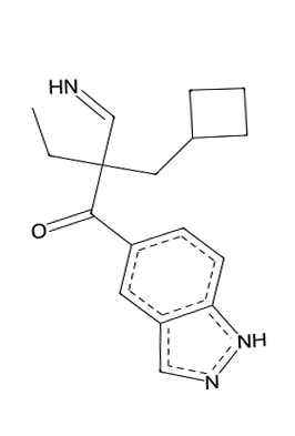 CCC(C=N)(CC1CCC1)C(=O)c1ccc2[nH]ncc2c1